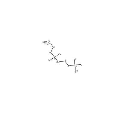 CCC(C)(C)CCOC(C)(C)CCC(=O)O